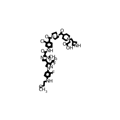 COCCNc1ccc(-n2cc(-c3cnc(C(=O)Nc4ccc(C(=O)N5CCN(C(=O)C6CC[N+](CC(=O)O)(CC7CNC7)CC6)CC5)c(Cl)c4)n3C)c(C(F)(F)F)n2)c(F)c1